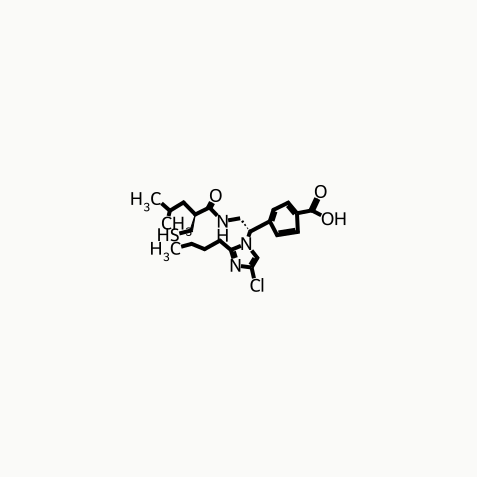 CCCCc1nc(Cl)cn1[C@H](CNC(=O)[C@@H](CS)CC(C)C)c1ccc(C(=O)O)cc1